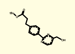 CC(C)(C)OC(=O)CCc1ccc(-c2nccc(CO)n2)cc1